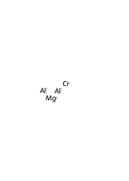 [Al].[Al].[Cr].[Mg]